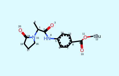 CC(C(=O)Nc1ccc(C(=O)OC(C)(C)C)cc1)N1CCCC1=O